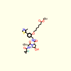 Cc1ncsc1-c1ccc(CNC(=O)[C@@H]2C[C@@H](O)CN2C(=O)[C@@H](NC(=O)C2(F)CC2)C(C)(C)C)c(OCCCCCCC(=O)OC(C)(C)C)c1